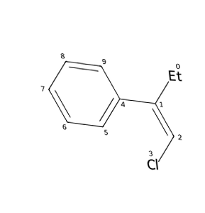 CC/C(=C/Cl)c1ccccc1